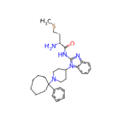 CSCCC(N)C(=O)Nc1nc2ccccc2n1C1CCN(C2(c3ccccc3)CCCCCC2)CC1